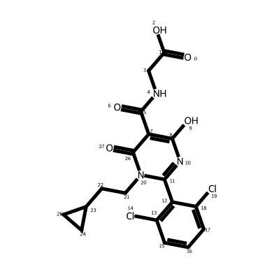 O=C(O)CNC(=O)c1c(O)nc(-c2c(Cl)cccc2Cl)n(CCC2CC2)c1=O